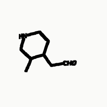 CC1CNCCC1CC=O